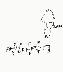 C1=CCC=C1.F[P-](F)(F)(F)(F)F.F[P-](F)(F)(F)(F)F.[Fe+2].c1ccc2c(c1)[nH]c1ccccc12